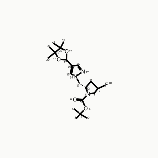 CC(C)(C)OC(=O)N1CC(F)C[C@H]1Cn1cc(C2OC(C)(C)C(C)(C)O2)cn1